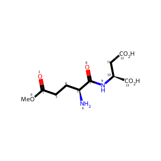 COC(=O)CC[C@H](N)C(=O)N[C@@H](CC(=O)O)C(=O)O